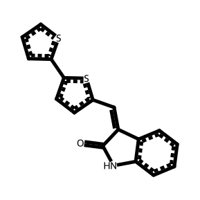 O=C1Nc2ccccc2C1=Cc1ccc(-c2cccs2)s1